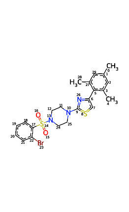 Cc1cc(C)c(-c2csc(N3CCN(S(=O)(=O)c4ccccc4Br)CC3)n2)c(C)c1